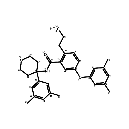 Cc1cc(C)cc(Oc2ccc(CCC(=O)O)c(C(=O)NC3(c4cc(C)cc(C)c4)CCOCC3)c2)c1